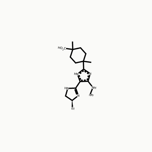 CCCNc1nc(C2(C)CCC(C)(C(=O)O)CC2)[nH]c1C1=N[C@@H](CC)CN1